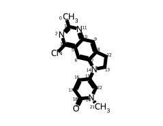 Cc1nc(Cl)c2cc3c(cc2n1)CCN3c1ccc(=O)n(C)c1